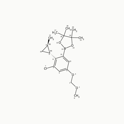 COCOc1cc(Cl)c([C@@H]2C[C@H]2C)c(B2OC(C)(C)C(C)(C)O2)c1